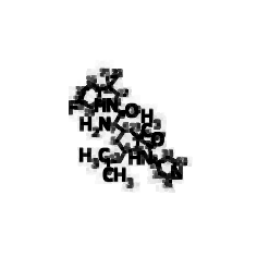 CC(C)CC1CC(C(N)C(=O)NCC2(c3ccc(F)cc3)CC2)CC(C)(C(=O)Nc2ccncc2)C1